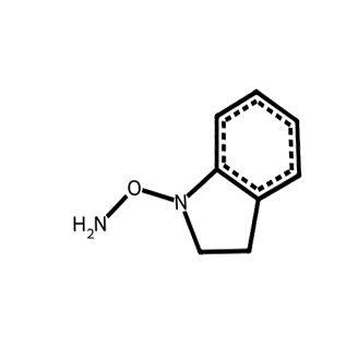 NON1CCc2ccccc21